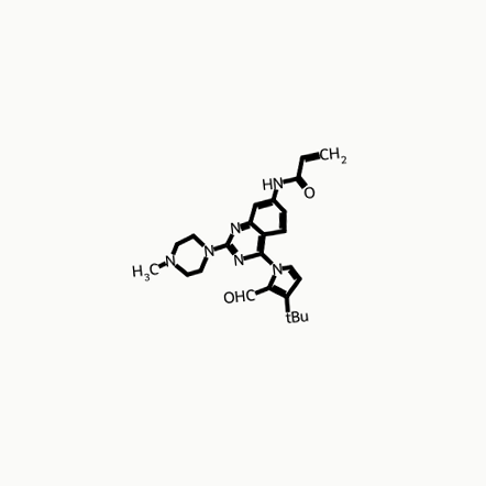 C=CC(=O)Nc1ccc2c(-n3ccc(C(C)(C)C)c3C=O)nc(N3CCN(C)CC3)nc2c1